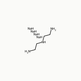 NCCNCCN.[NaH].[NaH].[NaH].[NaH]